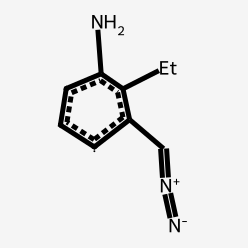 CCc1c(C=[N+]=[N-])[c]ccc1N